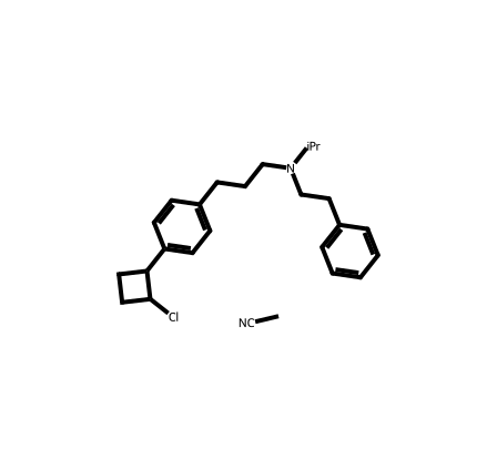 CC#N.CC(C)N(CCCc1ccc(C2CCC2Cl)cc1)CCc1ccccc1